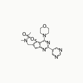 CN(Cc1cc2nc(-c3cncnc3)nc(N3CCOCC3)c2s1)S(C)(=O)=O